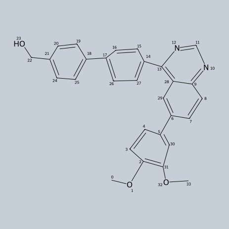 COc1ccc(-c2ccc3ncnc(-c4ccc(-c5ccc(CO)cc5)cc4)c3c2)cc1OC